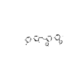 COc1cc(-c2ccc(CCc3ccc(-c4ccc(C)c(C)c4)cc3C)c(OC)c2)ccc1C